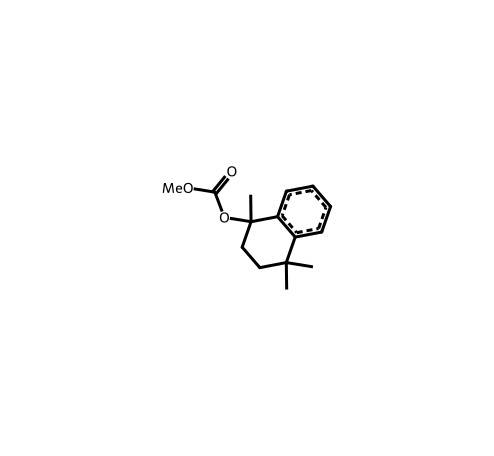 COC(=O)OC1(C)CCC(C)(C)c2ccccc21